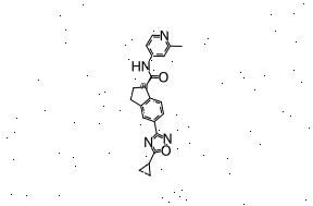 Cc1cc(NC(=O)[C@@H]2CCc3cc(-c4noc(C5CC5)n4)ccc32)ccn1